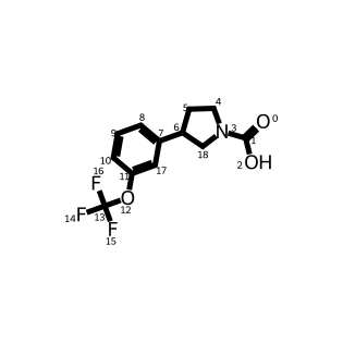 O=C(O)N1CCC(c2cccc(OC(F)(F)F)c2)C1